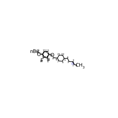 C/C=C/CCC1CCC(COc2ccc(OCCCC)c(F)c2F)CC1